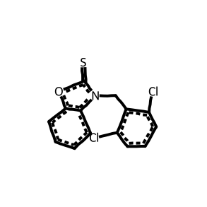 S=c1oc2ccccc2n1Cc1c(Cl)cccc1Cl